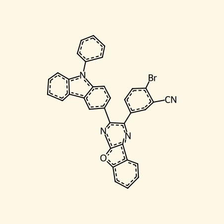 N#Cc1cc(-c2nc3c(nc2-c2ccc4c(c2)c2ccccc2n4-c2ccccc2)oc2ccccc23)ccc1Br